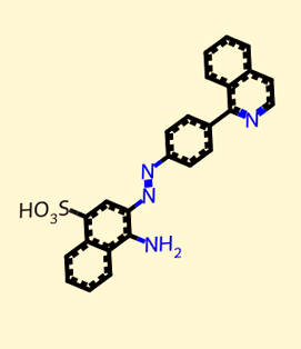 Nc1c(/N=N/c2ccc(-c3nccc4ccccc34)cc2)cc(S(=O)(=O)O)c2ccccc12